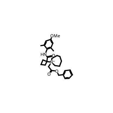 COc1cc(C)c(NC(=O)C2([N+]3(CC(=O)OCc4ccccc4)CCCCCC3)CCC2)c(C)c1